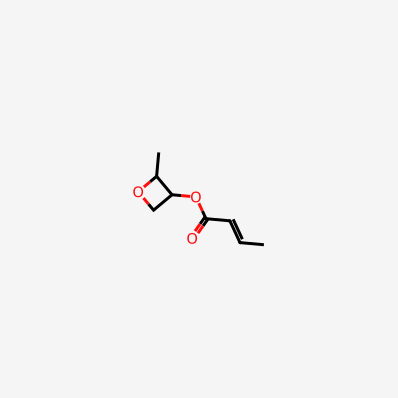 CC=CC(=O)OC1COC1C